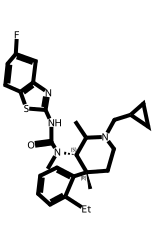 CCc1ccccc1[C@@]1(C)CCN(CC2CC2)C(C)[C@H]1N(C)C(=O)Nc1nc2cc(F)ccc2s1